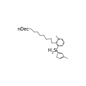 CCCCCCCCCCCCCCCCCCc1c(C)cccc1[SiH2]C1=CC(C)=CC1